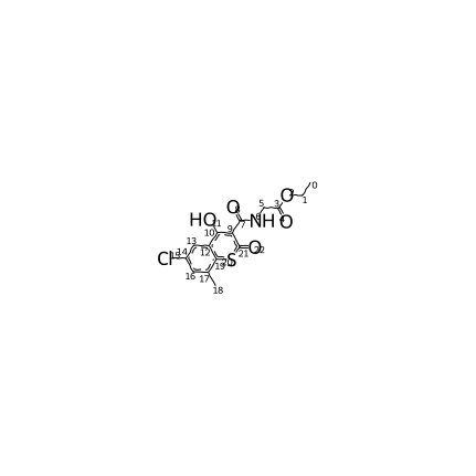 CCOC(=O)CNC(=O)c1c(O)c2cc(Cl)cc(C)c2sc1=O